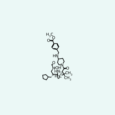 COC(=O)c1ccc(CNC2CCN(C(=O)[C@@H](NC(=O)[C@H](CC3CCCC3)CN(O)C=O)C(C)(C)C)CC2)cc1